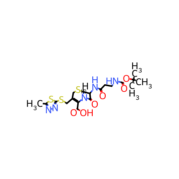 Cc1nnc(SCC2=C(C(=O)O)N3C(=O)C(NC(=O)CCNC(=O)OC(C)(C)C)[C@@H]3SC2)s1